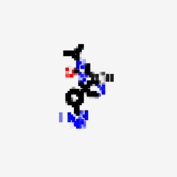 CCCCc1cn(C2C(C)C2C)c(=O)n1CC1(c2cccc(-c3nnn[nH]3)c2)C=CN=CC1